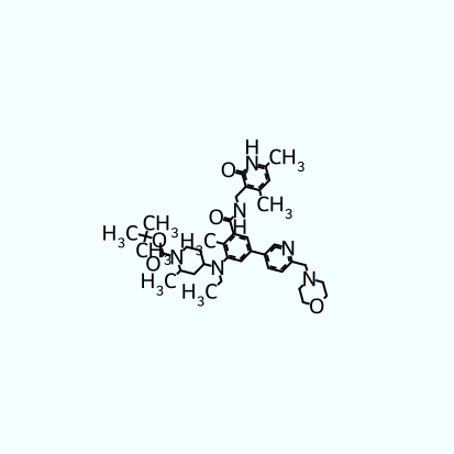 CCN(c1cc(-c2ccc(CN3CCOCC3)nc2)cc(C(=O)NCc2c(C)cc(C)[nH]c2=O)c1C)C1CCN(C(=O)OC(C)(C)C)C(C)C1